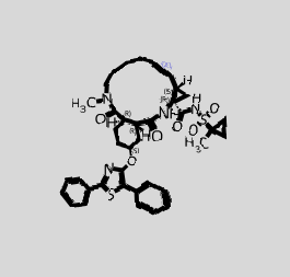 CN1CCCC/C=C\[C@@H]2C[C@@]2(C(=O)NS(=O)(=O)C2(C)CC2)NC(=O)[C@@H]2C[C@@H](Oc3nc(-c4ccccc4)sc3-c3ccccc3)CC[C@H]2C1=O